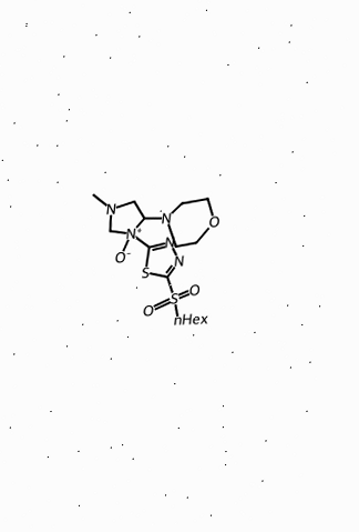 CCCCCCS(=O)(=O)c1nnc([N+]2([O-])CN(C)CC2N2CCOCC2)s1